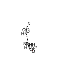 C=C(NC)/C(C#CCCCNC(=O)[C@@H]1CCCN1C(=O)/C=C/CN(C)C)=C\N=C(/N)Nc1ccc(OC)c(F)c1